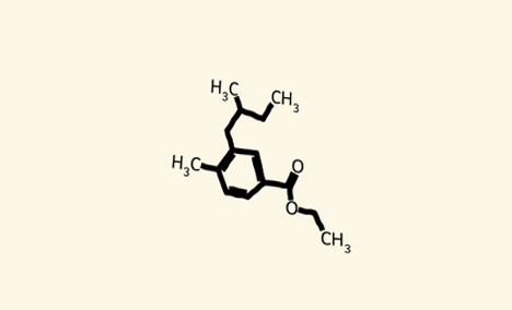 CCOC(=O)c1ccc(C)c(CC(C)CC)c1